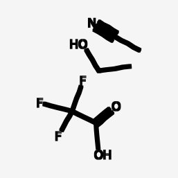 CC#N.CCO.O=C(O)C(F)(F)F